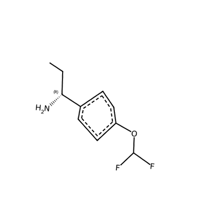 CC[C@@H](N)c1ccc(OC(F)F)cc1